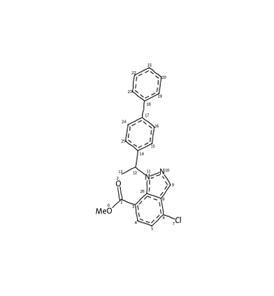 COC(=O)c1ccc(Cl)c2cnn(C(C)c3ccc(-c4ccccc4)cc3)c12